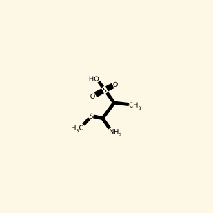 CSC(N)C(C)S(=O)(=O)O